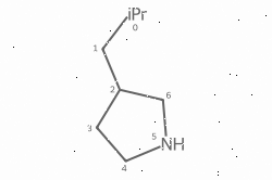 [CH2]C(C)CC1CCNC1